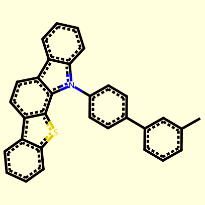 Cc1cccc(-c2ccc(-n3c4ccccc4c4ccc5c6ccccc6sc5c43)cc2)c1